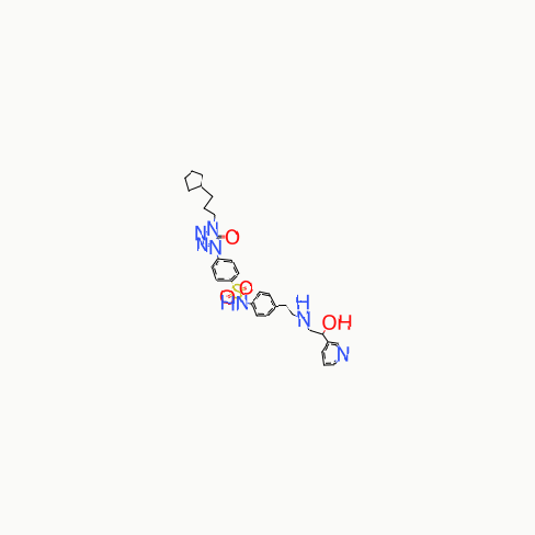 O=c1n(CCCC2CCCC2)nnn1-c1ccc(S(=O)(=O)Nc2ccc(CCNCC(O)c3cccnc3)cc2)cc1